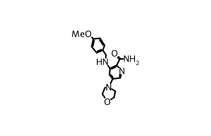 COc1ccc(CNc2cc(N3CCOCC3)cnc2C(N)=O)cc1